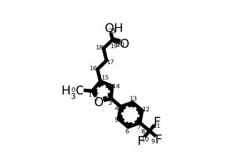 Cc1oc(-c2ccc(C(F)(F)F)cc2)cc1CCCC(=O)O